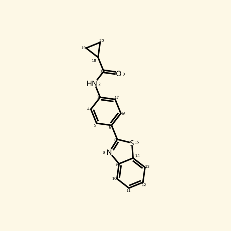 O=C(Nc1ccc(-c2nc3ccccc3s2)cc1)C1CC1